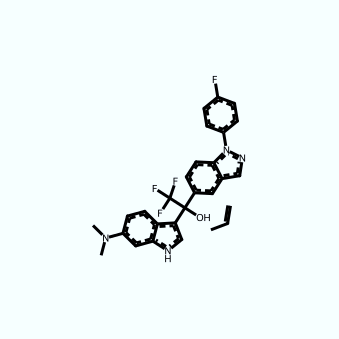 C=CC.CN(C)c1ccc2c(C(O)(c3ccc4c(cnn4-c4ccc(F)cc4)c3)C(F)(F)F)c[nH]c2c1